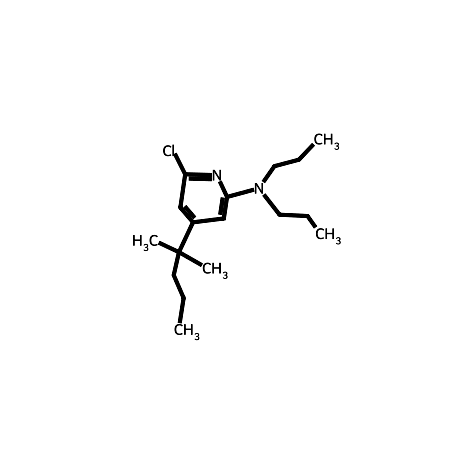 CCCN(CCC)c1cc(C(C)(C)CCC)cc(Cl)n1